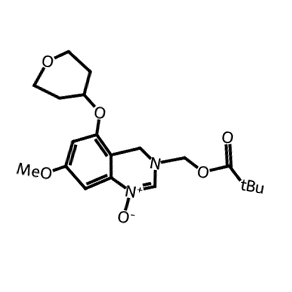 COc1cc(OC2CCOCC2)c2c(c1)[N+]([O-])=CN(COC(=O)C(C)(C)C)C2